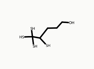 OCCCC(S)C(S)(S)S